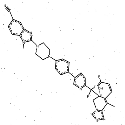 C=C(F)/C=C\C1=C(C)c2nnnn2C[C@@]1(O)C(F)(F)c1ccc(-c2ccc(N3CCN(c4nc5cc(C#N)ccc5n4C)CC3)cc2)cn1